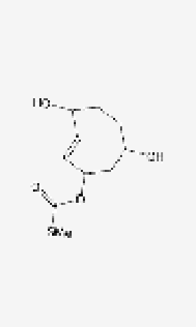 CSC(=O)OC1/C=C/C(O)CCC(O)C1